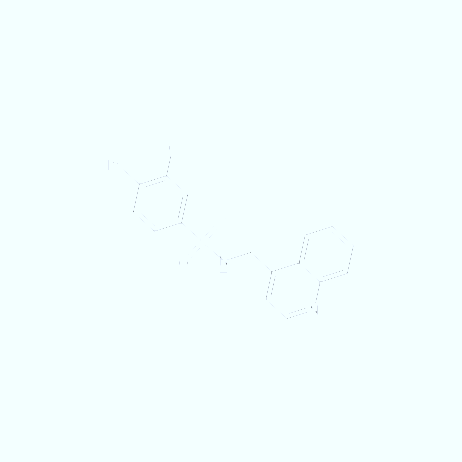 Cc1cc(S(=O)(=O)NCc2ccnc3ccccc23)ccc1Br